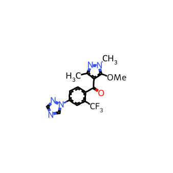 COc1c(C(=O)c2ccc(-n3cncn3)cc2C(F)(F)F)c(C)nn1C